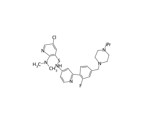 CC(C)N1CCN(Cc2ccc(-c3cc(NSc4cc(Cl)cnc4N(C)C)ccn3)c(F)c2)CC1